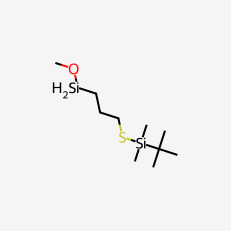 CO[SiH2]CCCS[Si](C)(C)C(C)(C)C